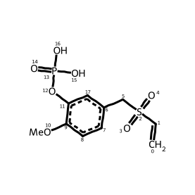 C=CS(=O)(=O)Cc1ccc(OC)c(OP(=O)(O)O)c1